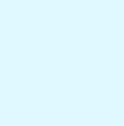 CC(C)(C)c1cc(CN2CCCC2)cc(C(C)(C)C)c1O.Cl